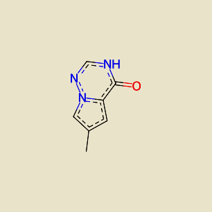 Cc1cc2c(=O)[nH]cnn2c1